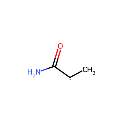 C[C]C(N)=O